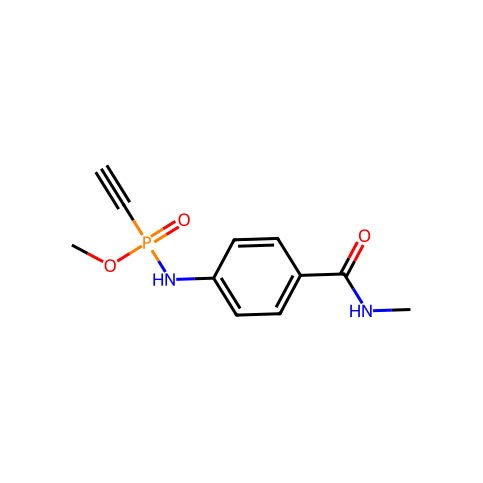 C#CP(=O)(Nc1ccc(C(=O)NC)cc1)OC